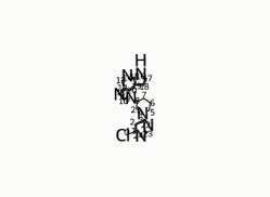 Clc1cc(N2CCC[C@@H](n3cnc4cnc5[nH]ccc5c43)C2)ncn1